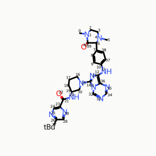 CN1CCN(C)C(c2ccc(Nc3nc(N4CCC[C@H](NC(=O)c5cnc(C(C)(C)C)cn5)C4)n4cncnc34)cc2)C1=O